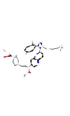 CC1CN(CCN(C(=O)OC(C)(C)C)c2cnc3ccc(-c4c(-c5cc(Cl)ccc5F)ncn4COCC[Si](C)(C)C)nc3c2)C[C@@H](C)N1C(=O)OC(C)(C)C